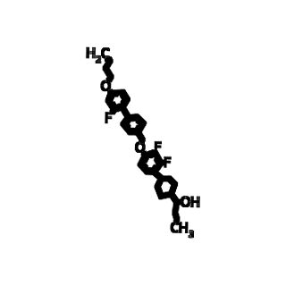 C=CCCOc1ccc(-c2ccc(COc3ccc(C4CCC(C(O)CCC)CC4)c(F)c3F)cc2)c(F)c1